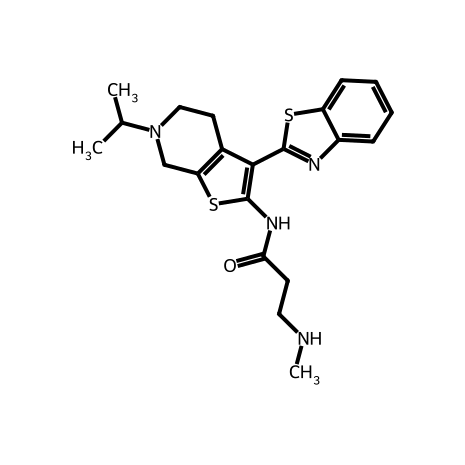 CNCCC(=O)Nc1sc2c(c1-c1nc3ccccc3s1)CCN(C(C)C)C2